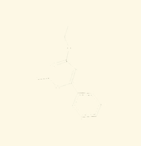 CCOC(=O)C=C(OCC)c1ccccc1